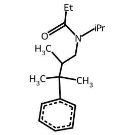 CCC(=O)N(CC(C)C(C)(C)c1ccccc1)C(C)C